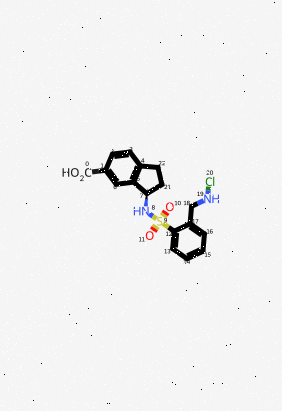 O=C(O)c1ccc2c(c1)[C@H](NS(=O)(=O)c1ccccc1CNCl)CC2